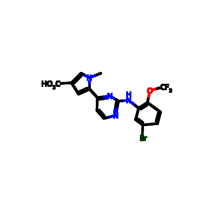 Cn1cc(C(=O)O)cc1-c1ccnc(Nc2cc(Br)ccc2OC(F)(F)F)n1